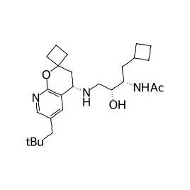 CC(=O)N[C@@H](CC1CCC1)[C@H](O)CN[C@H]1CC2(CCC2)Oc2ncc(CC(C)(C)C)cc21